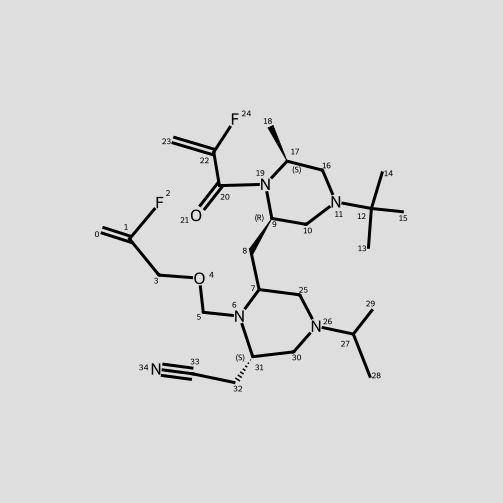 C=C(F)COCN1C(C[C@@H]2CN(C(C)(C)C)C[C@H](C)N2C(=O)C(=C)F)CN(C(C)C)C[C@@H]1CC#N